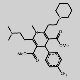 COC(=O)C1=C(CCN(C)C)N(C)C(CCN2CCCCC2)=C(C(=O)OC)C1c1ccc(C(F)(F)F)cc1